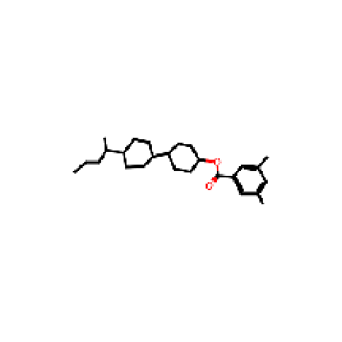 CCCC(C)C1CCC(C2CCC(OC(=O)c3cc(C)cc(C)c3)CC2)CC1